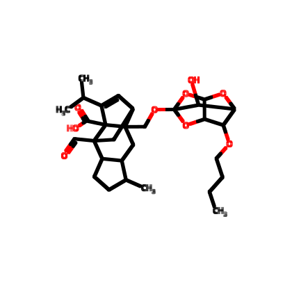 CCCCOC1C2OC3(OCC45CC6C(C)CCC6C6(C=O)CC4C=C(C(C)C)C65C(=O)O)OC2OC1C3O